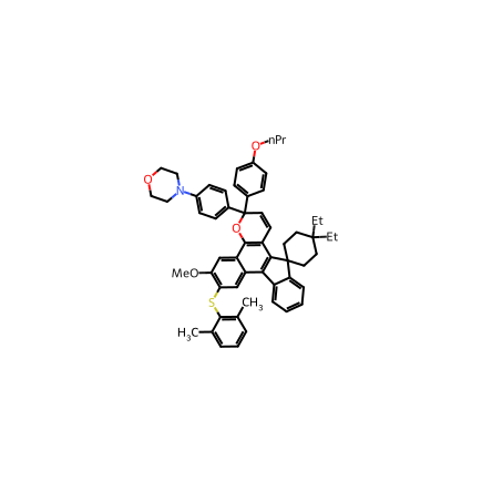 CCCOc1ccc(C2(c3ccc(N4CCOCC4)cc3)C=Cc3c4c(c5cc(Sc6c(C)cccc6C)c(OC)cc5c3O2)-c2ccccc2C42CCC(CC)(CC)CC2)cc1